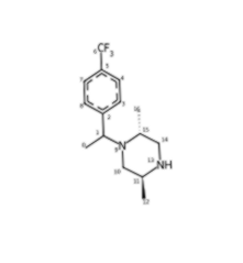 CC(c1ccc(C(F)(F)F)cc1)N1C[C@H](C)NC[C@H]1C